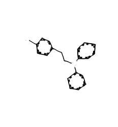 Brc1ccc(CC[SiH](c2ccccc2)c2ccccc2)cc1